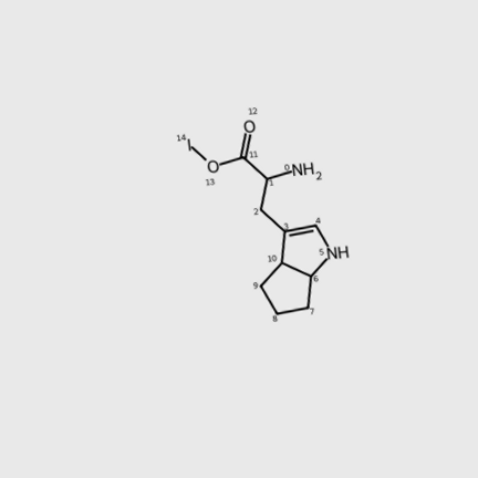 NC(CC1=CNC2CCCC12)C(=O)OI